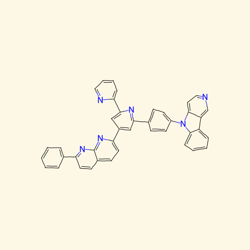 c1ccc(-c2ccc3ccc(-c4cc(-c5ccc(-n6c7ccccc7c7cnccc76)cc5)nc(-c5ccccn5)c4)nc3n2)cc1